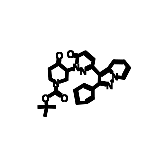 CC(C)(C)OC(=O)N1CCC(=O)C(n2nc(-c3c(-c4ccccc4)nn4ccccc34)ccc2=O)C1